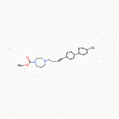 CC(C)(C)OC(=O)N1CCCN(CCC#Cc2ccc(-c3ccc(C#N)cc3)cc2)CC1